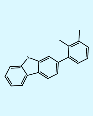 Cc1cccc(-c2ccc3c(c2)sc2ccccc23)c1C